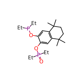 CCP(CC)Oc1cc2c(cc1OP(=O)(CC)CC)C(C)(C)CCC2(C)C